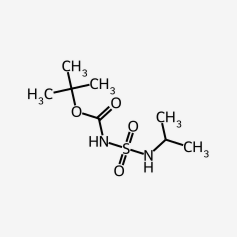 CC(C)NS(=O)(=O)NC(=O)OC(C)(C)C